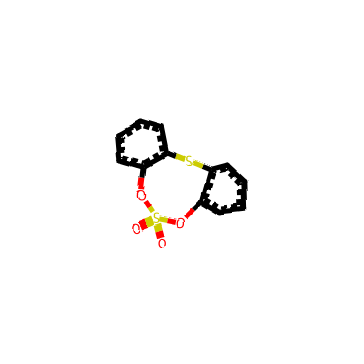 O=S1(=O)Oc2ccccc2Sc2ccccc2O1